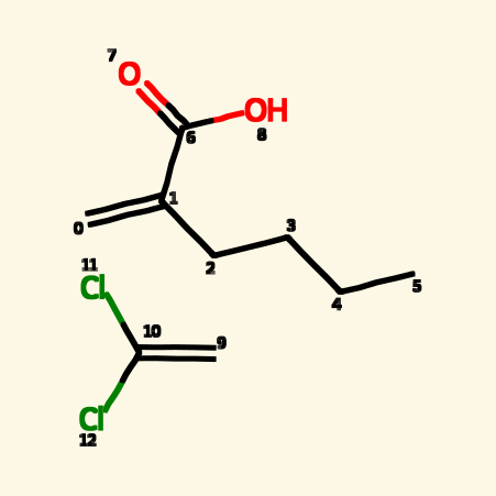 C=C(CCCC)C(=O)O.C=C(Cl)Cl